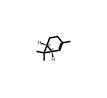 CC1=C[C@H]2[C@@H](CC1)C2(C)C